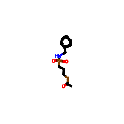 CC(=O)SCCCS(=O)(=O)NCc1ccccc1